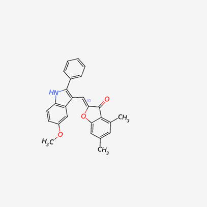 COc1ccc2[nH]c(-c3ccccc3)c(/C=C3\Oc4cc(C)cc(C)c4C3=O)c2c1